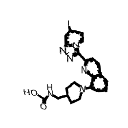 O=C(O)NCC1CCN(c2cccc3ccc(-c4nnc5cc(I)ccn45)nc23)CC1